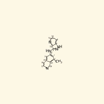 Cc1cc(Nc2n[nH]c3cccnc23)cc2ccncc12